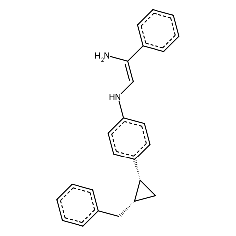 N/C(=C\Nc1ccc([C@@H]2C[C@@H]2Cc2ccccc2)cc1)c1ccccc1